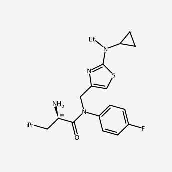 CCN(c1nc(CN(C(=O)[C@H](N)CC(C)C)c2ccc(F)cc2)cs1)C1CC1